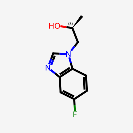 C[C@H](O)Cn1cnc2cc(F)ccc21